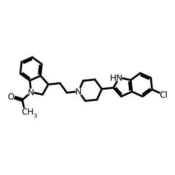 CC(=O)N1CC(CCN2CCC(c3cc4cc(Cl)ccc4[nH]3)CC2)c2ccccc21